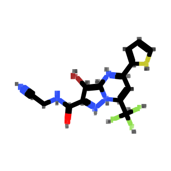 N#CCNC(=O)c1nn2c(C(F)(F)F)cc(-c3cccs3)nc2c1Br